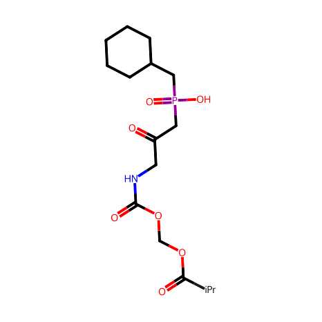 CC(C)C(=O)OCOC(=O)NCC(=O)CP(=O)(O)CC1CCCCC1